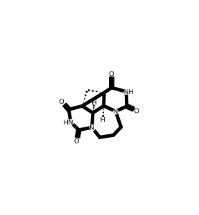 C[C@@]12C(=O)NC(=O)N3CCCN4C(=O)NC(=O)[C@]1(C)[C@H]4[C@H]32